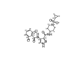 O=C(NC1CCN(S(=O)(=O)C2CC2)CC1)c1n[nH]cc1NC(=O)c1c(Cl)cccc1Cl